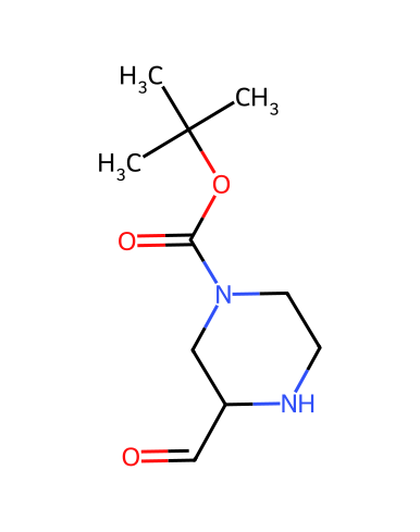 CC(C)(C)OC(=O)N1CCNC(C=O)C1